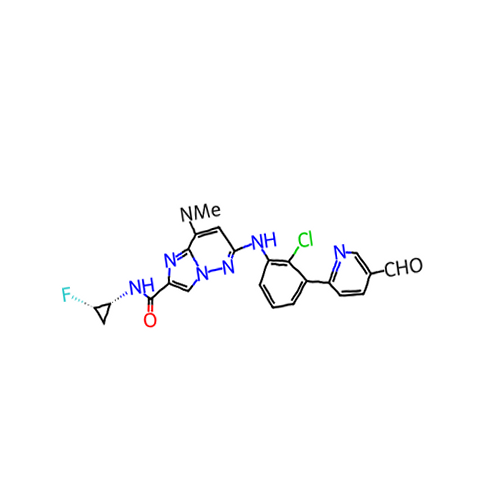 CNc1cc(Nc2cccc(-c3ccc(C=O)cn3)c2Cl)nn2cc(C(=O)N[C@@H]3C[C@@H]3F)nc12